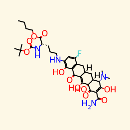 CCCCOC(=O)[C@H](CCCNc1cc(F)c2c(c1O)C(=O)C1=C(O)[C@]3(O)C(=O)C(C(N)=O)=C(O)[C@@H](N(C)C)[C@@H]3C[C@@H]1C2)NC(=O)OC(C)(C)C